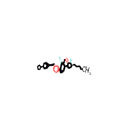 CCCCCc1ccc2c(c1F)OCc1c-2ccc(OCc2ccc(C3CCCC3)cc2)c1F